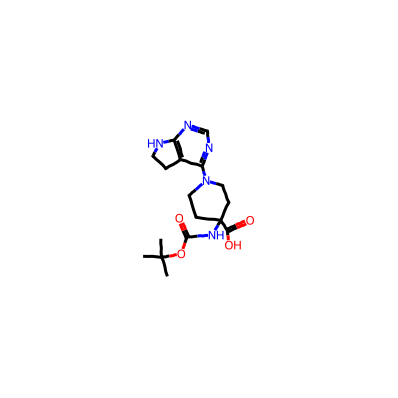 CC(C)(C)OC(=O)NC1(C(=O)O)CCN(c2ncnc3c2CCN3)CC1